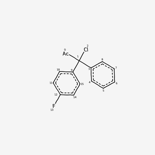 CC(=O)C(Cl)(c1ccccc1)c1ccc(F)cc1